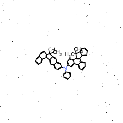 CC1(C)c2cc3cc(N(c4ccccc4)c4ccc5c6c(c7ccccc7c5c4)-c4ccccc4C6(C)C)ccc3cc2-c2c1ccc1ccccc21